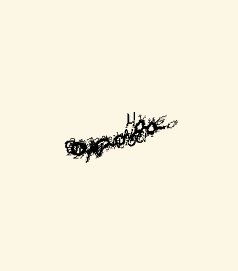 Cc1ccc(-c2cccc(C(=O)NC3CCN(Cc4ccc(N5CCOCC5)nc4)CC3)c2Cl)cc1